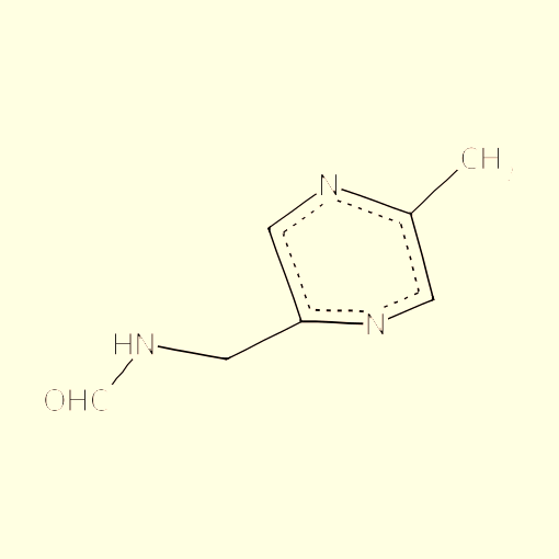 Cc1cnc(CNC=O)cn1